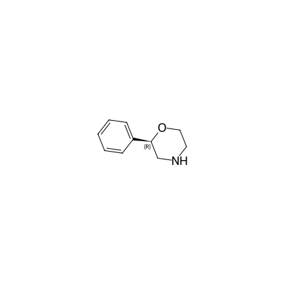 c1ccc([C@@H]2CNCCO2)cc1